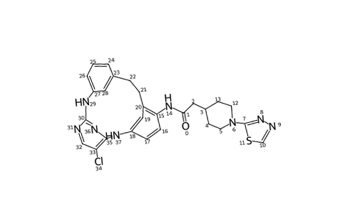 O=C(CC1CCN(c2nncs2)CC1)Nc1ccc2cc1CCc1cccc(c1)Nc1ncc(Cl)c(n1)N2